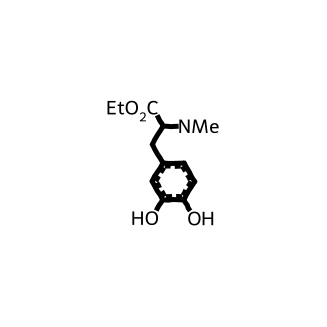 CCOC(=O)C(Cc1ccc(O)c(O)c1)NC